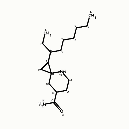 CCCCCCC(CC)C1CC12CC(C(N)=O)CCN2